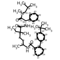 CCC(C)(CCC(C)NC(=O)c1ccccc1-c1ccc(C(C)(C)C)cc1)C(=O)N[C@H](C(=O)N(C)CC(C)C)c1ccccc1